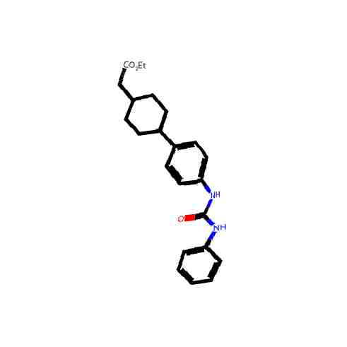 CCOC(=O)CC1CCC(c2ccc(NC(=O)Nc3ccccc3)cc2)CC1